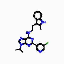 Cc1[nH]c2ccccc2c1CCNc1nc(-c2cncc(F)c2)nc2c1ncn2C(C)C